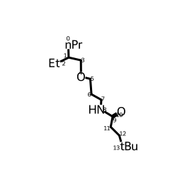 CCCC(CC)COCCCNC(=O)CCC(C)(C)C